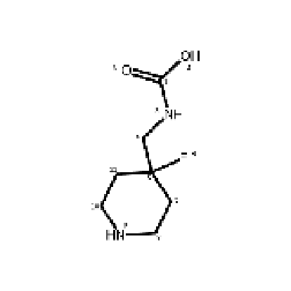 O=C(O)NCC1(F)CCNCC1